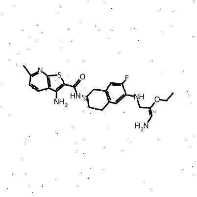 CCO/C(=C/N)CNc1cc2c(cc1F)C[C@@H](NC(=O)c1sc3nc(C)ccc3c1N)CC2